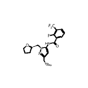 CC(C)(C)c1cc(NC(=O)c2cccc(C(F)(F)F)c2F)n(C[C@H]2CCCO2)n1